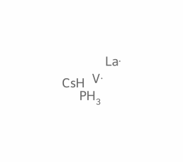 P.[CsH].[La].[V]